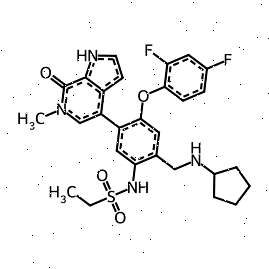 CCS(=O)(=O)Nc1cc(-c2cn(C)c(=O)c3[nH]ccc23)c(Oc2ccc(F)cc2F)cc1CNC1CCCC1